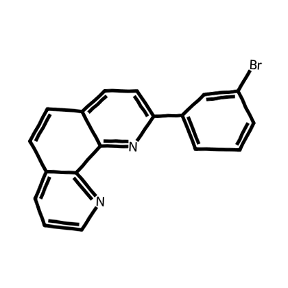 Brc1cccc(-c2ccc3ccc4cccnc4c3n2)c1